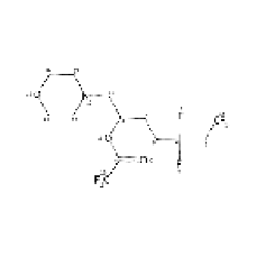 O=C(OC(CCC(F)(F)CC(F)(F)F)CN1CCOCC1)C(F)(F)F